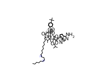 CCCCC/C=C\C/C=C\CCCCCCCCOC(=O)[C@H](C)N[P@@](=O)(OC[C@H]1O[C@@](C#N)(c2ccc3c(N)ncnn23)[C@H](OC(=O)C(C)C)[C@@H]1OC(=O)C(C)C)Oc1ccc(C(C)(C)C)cc1